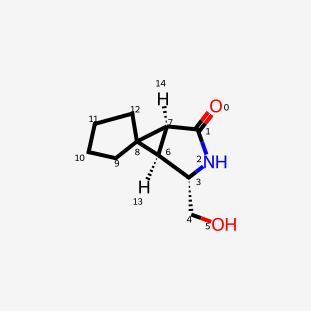 O=C1N[C@H](CO)[C@@H]2[C@H]1C21CCCC1